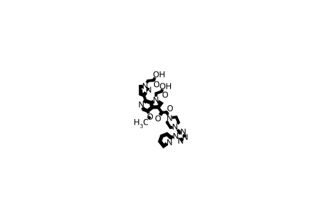 COc1cnc(-c2ccn(CC(=O)O)n2)c2c1c(C(=O)C(=O)N1CCN(c3nnnn3-c3ccccn3)CC1)cn2CC(=O)O